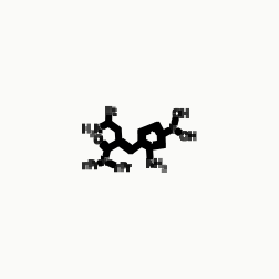 CCCN(CCC)C(=O)/C(=C/c1ccc(B(O)O)cc1N)CC(N)CC